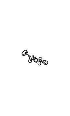 O=C(NCCC12CC3CC(CC(C3)C1)C2)c1ccc(S(=O)(=O)N2CCOCC2)cc1